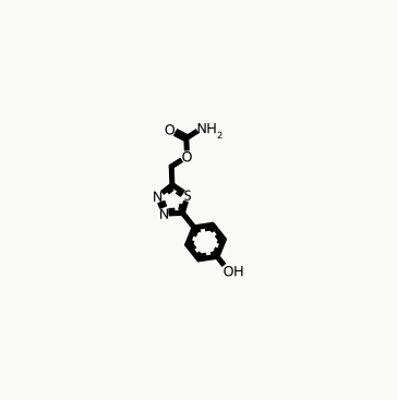 NC(=O)OCc1nnc(-c2ccc(O)cc2)s1